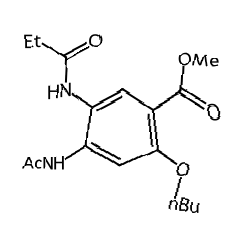 CCCCOc1cc(NC(C)=O)c(NC(=O)CC)cc1C(=O)OC